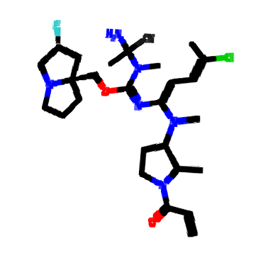 C=CC(=O)N1CCC(N(C)C(=C\C=C(/C)Cl)/N=C(/OC[C@@]23CCCN2C[C@H](F)C3)N(C)C(C)(N)C#N)C1C